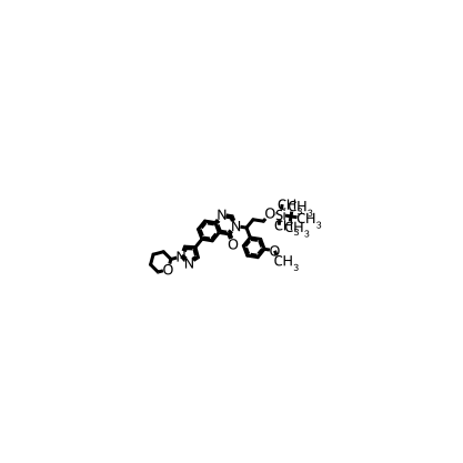 COc1cccc(C(CCO[Si](C)(C)C(C)(C)C)n2cnc3ccc(-c4cnn(C5CCCCO5)c4)cc3c2=O)c1